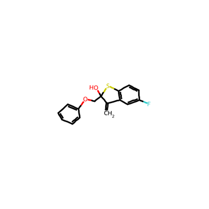 C=C1c2cc(F)ccc2SC1(O)COc1ccccc1